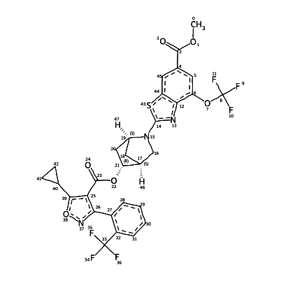 COC(=O)c1cc(OC(F)(F)F)c2nc(N3C[C@@H]4C[C@H]3C[C@H]4OC(=O)c3c(-c4ccccc4C(F)(F)F)noc3C3CC3)sc2c1